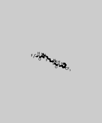 O=C(NCC(F)(F)F)c1cn(CC(F)CCc2nnc(C(=O)NCc3cc(C(F)(F)F)ccn3)s2)nn1